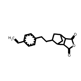 C=Cc1ccc(CCC2CC3CC2C2C(=O)OC(=O)C32)cc1